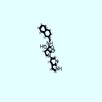 O=C(NCC1CCc2ccccc2C1)C1(O)CCN(c2cnc3[nH]ccc3c2)C1=O